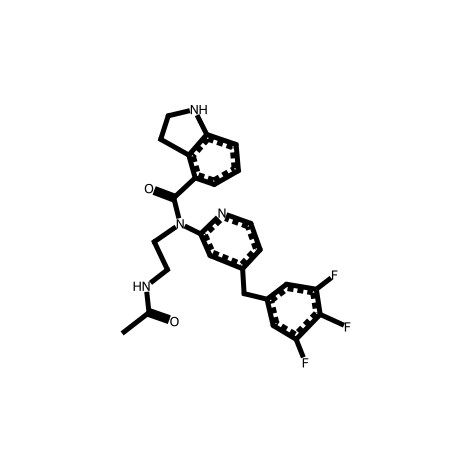 CC(=O)NCCN(C(=O)c1cccc2c1CCN2)c1cc(Cc2cc(F)c(F)c(F)c2)ccn1